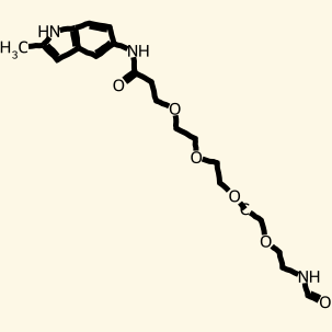 Cc1cc2cc(NC(=O)CCOCCOCCOCCOCCNC=O)ccc2[nH]1